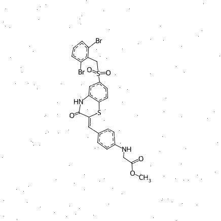 COC(=O)CNc1ccc(/C=C2\Sc3ccc(S(=O)(=O)Cc4c(Br)cccc4Br)cc3NC2=O)cc1